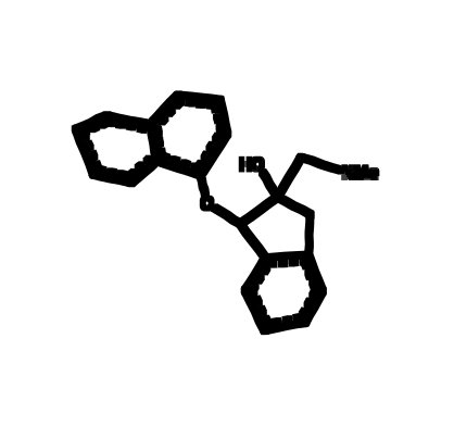 CNCC1(O)Cc2ccccc2C1Oc1cccc2ccccc12